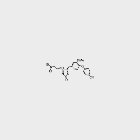 CCN(CC)CCNC1=NC(=O)S/C1=C\c1ccc(Oc2ccc(C#N)cc2)c(OC)c1